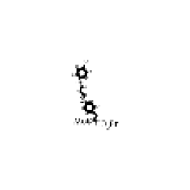 CCOC(=O)[C@H](Cc1ccc(OCCCOc2ccc(I)cc2)cc1)OC